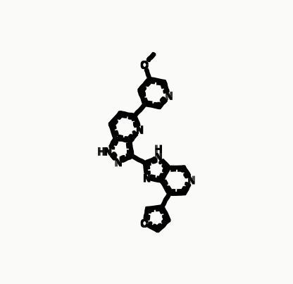 COc1cncc(-c2ccc3[nH]nc(-c4nc5c(-c6ccoc6)cncc5[nH]4)c3n2)c1